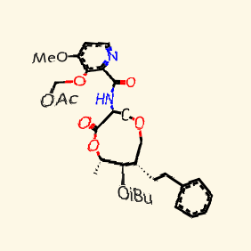 COc1ccnc(C(=O)N[C@H]2COC[C@H](CCc3ccccc3)[C@@H](OCC(C)C)[C@H](C)OC2=O)c1OCOC(C)=O